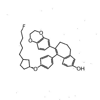 Oc1ccc2c(c1)CCCC(c1ccc3c(c1)OCCO3)=C2c1ccc(O[C@H]2CCC(CCCCCF)C2)cc1